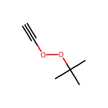 C#COOC(C)(C)C